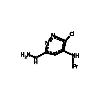 CC(C)Nc1cc(NN)nnc1Cl